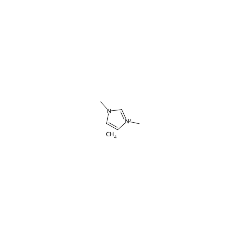 C.Cn1cc[n+](C)c1